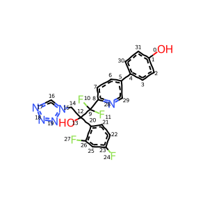 Oc1ccc(-c2ccc(C(F)(F)C(O)(Cn3cnnn3)c3ccc(F)cc3F)nc2)cc1